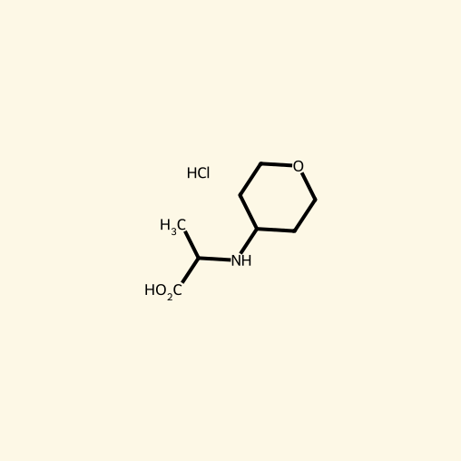 CC(NC1CCOCC1)C(=O)O.Cl